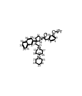 CC(C)Oc1cccc(CC(=O)N2CC[C@@](CCN3CCC(N4CCCCC4)CC3)(c3ccc4ccccc4c3)C2)c1